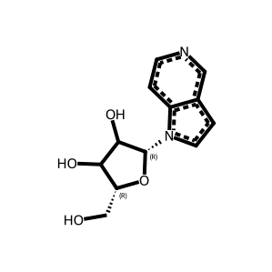 OC[C@H]1O[C@@H](n2ccc3cnccc32)C(O)C1O